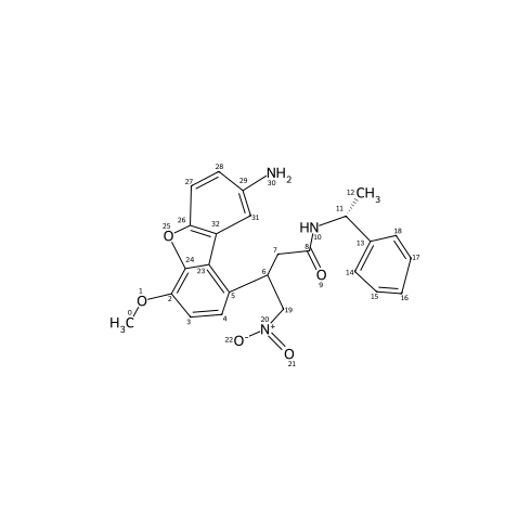 COc1ccc(C(CC(=O)N[C@H](C)c2ccccc2)C[N+](=O)[O-])c2c1oc1ccc(N)cc12